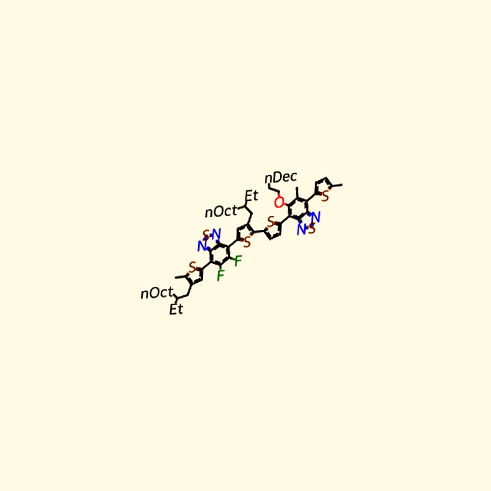 CCCCCCCCCCCCOc1c(C)c(-c2ccc(C)s2)c2nsnc2c1-c1ccc(-c2sc(-c3c(F)c(F)c(-c4cc(CC(CC)CCCCCCCC)c(C)s4)c4nsnc34)cc2CC(CC)CCCCCCCC)s1